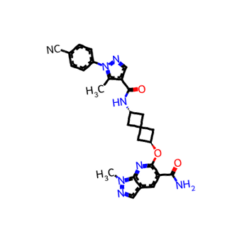 Cc1c(C(=O)N[C@H]2CC3(C2)C[C@H](Oc2nc4c(cnn4C)cc2C(N)=O)C3)cnn1-c1ccc(C#N)cc1